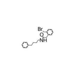 O=C(Cc1ccccc1CBr)NCCCCc1ccccc1